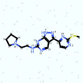 CSc1nccc(-c2n[nH]c3nc(NCCN4CCCC4)ncc23)n1